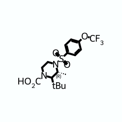 C[C@@H]1C(C(C)(C)C)N(C(=O)O)CCN1S(=O)(=O)c1ccc(OC(F)(F)F)cc1